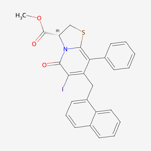 COC(=O)[C@@H]1CSc2c(-c3ccccc3)c(Cc3cccc4ccccc34)c(I)c(=O)n21